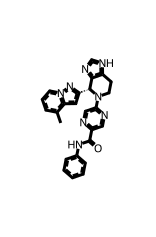 Cc1cccn2nc([C@@H]3c4nc[nH]c4CCN3c3cnc(C(=O)Nc4ccccc4)cn3)cc12